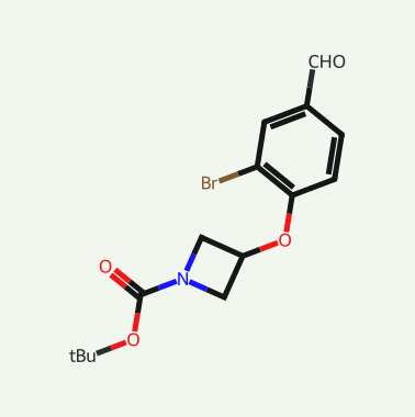 CC(C)(C)OC(=O)N1CC(Oc2ccc(C=O)cc2Br)C1